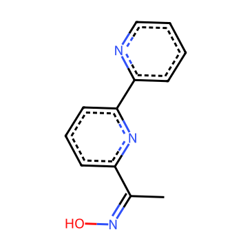 C/C(=N/O)c1cccc(-c2ccccn2)n1